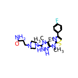 CCC1=C(N(C)c2nc(-c3ccc(F)cc3)cs2)NNC(N2CCN(CCC(N)=O)CC2)N1C